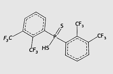 FC(F)(F)c1cccc(P(=S)(S)c2cccc(C(F)(F)F)c2C(F)(F)F)c1C(F)(F)F